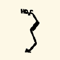 CC(=O)C/C=C/C(=O)O